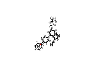 CCN1C2CC1CN(c1ccc(-c3cc(OCC(C)(C)O)cn4ncc(C#N)c34)cn1)C2